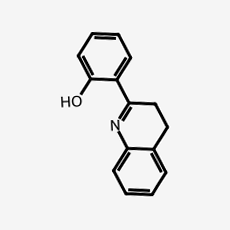 Oc1ccccc1C1=Nc2ccccc2CC1